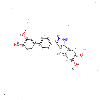 COc1cc(-c2ccc(-c3n[nH]c4c3Cc3cc(OC)c(OC)cc3-4)cc2)ccc1O